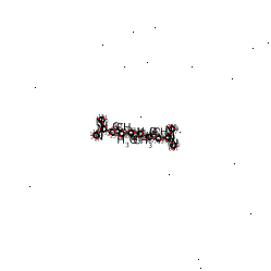 CC1(C)c2cc(-c3cc(-c4ccccn4)nc(-c4ccccn4)c3)ccc2-c2ccc(-c3ccc4c(c3)C(C)(C)c3cc(-c5ccc6c(c5)C(C)(C)c5cc(-c7cc(-c8ccccn8)nc(-c8ccccn8)c7)ccc5-6)ccc3-4)cc21